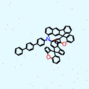 c1ccc(-c2ccc(-c3ccc(N(c4ccc5c(c4)C4(c6ccccc6Oc6ccccc64)c4ccccc4-5)c4cccc5cc6c(cc45)C4(c5ccccc5Oc5ccccc54)c4ccccc4-6)cc3)cc2)cc1